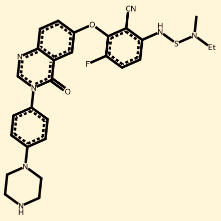 CCN(C)SNc1ccc(F)c(Oc2ccc3ncn(-c4ccc(N5CCNCC5)cc4)c(=O)c3c2)c1C#N